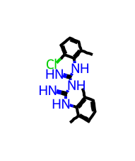 Cc1cccc(C)c1NC(=N)NC(=N)Nc1c(C)cccc1Cl